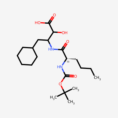 CCCC[C@H](NC(=O)OC(C)(C)C)C(=O)NC(CC1CCCCC1)C(O)C(=O)O